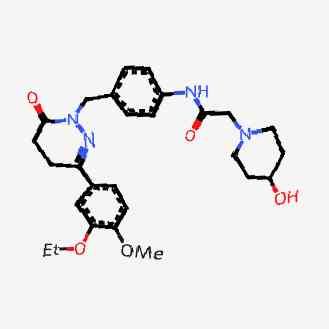 CCOc1cc(C2=NN(Cc3ccc(NC(=O)CN4CCC(O)CC4)cc3)C(=O)CC2)ccc1OC